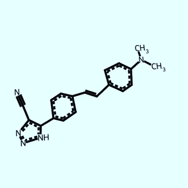 CN(C)c1ccc(C=Cc2ccc(-c3[nH]nnc3C#N)cc2)cc1